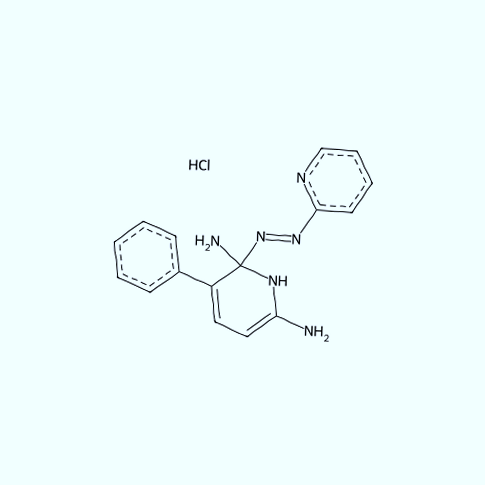 Cl.NC1=CC=C(c2ccccc2)C(N)(N=Nc2ccccn2)N1